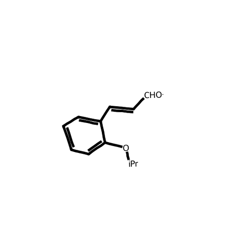 CC(C)Oc1ccccc1/C=C/[C]=O